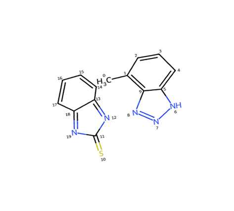 Cc1cccc2[nH]nnc12.S=C1N=c2ccccc2=N1